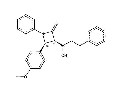 COc1ccc([C@@H]2[C@H](C(O)CCc3ccccc3)C(=O)N2c2ccccc2)cc1